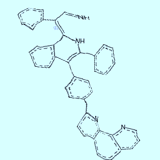 N=C/C(=C1\NC(c2ccccc2)=C(c2ccc(-c3ccc4ccc5cccnc5c4n3)cc2)c2ccccc21)c1ccccc1